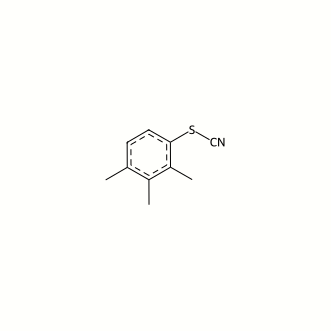 Cc1ccc(SC#N)c(C)c1C